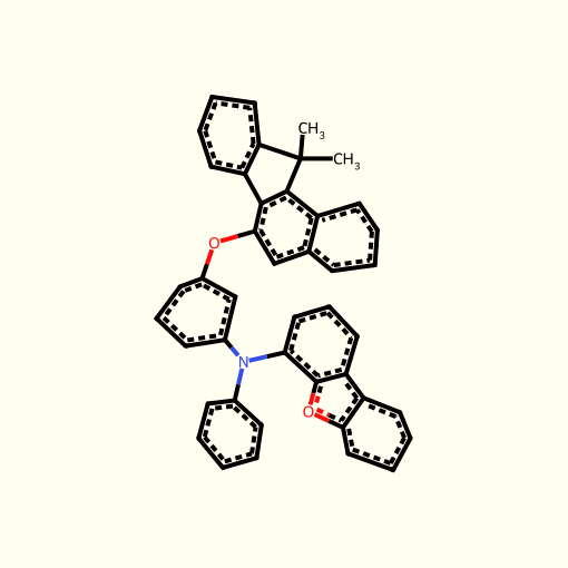 CC1(C)c2ccccc2-c2c(Oc3cccc(N(c4ccccc4)c4cccc5c4oc4ccccc45)c3)cc3ccccc3c21